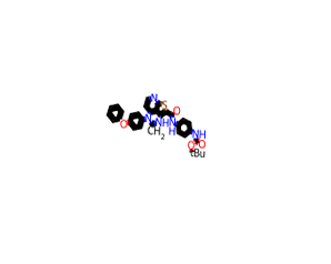 C=c1[nH]c2c(C(=O)NC3CCC(NC(=O)OC(C)(C)C)CC3)sc3nccc(c32)n1-c1ccc(Oc2ccccc2)cc1